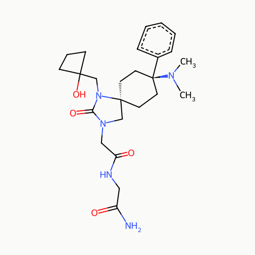 CN(C)[C@]1(c2ccccc2)CC[C@]2(CC1)CN(CC(=O)NCC(N)=O)C(=O)N2CC1(O)CCC1